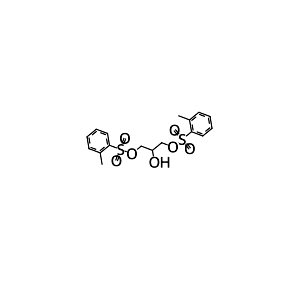 Cc1ccccc1S(=O)(=O)OCC(O)COS(=O)(=O)c1ccccc1C